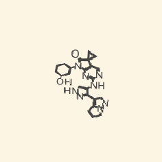 O=C1N([C@@H]2CCC[C@@H](O)C2)c2nc(Nc3c[nH]nc3-c3cnn4c3CCC4)ncc2C12CC2